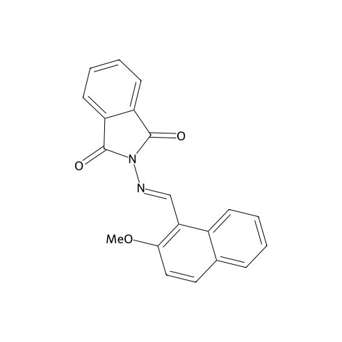 COc1ccc2ccccc2c1/C=N/N1C(=O)c2ccccc2C1=O